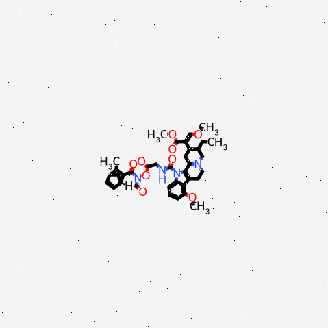 CCC1CN2CCc3c(n(C(=O)NCC(=O)ON(C=O)C(=O)C4C(C)C5C=C[C@@H]4C5)c4cccc(OC)c34)C2CC1/C(=C\OC)C(=O)OC